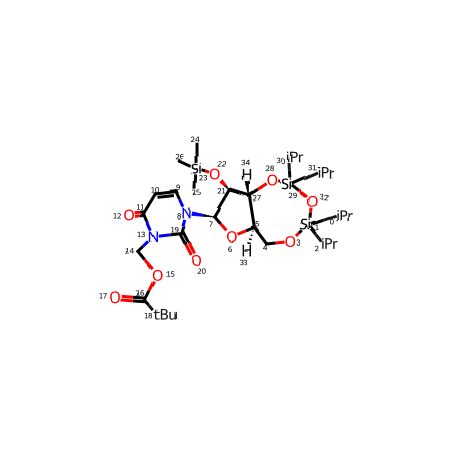 CC(C)[Si]1(C(C)C)OC[C@H]2O[C@@H](n3ccc(=O)n(COC(=O)C(C)(C)C)c3=O)[C@@H](O[Si](C)(C)C)[C@@H]2O[Si](C(C)C)(C(C)C)O1